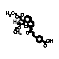 CCOC(=O)C(C)C1(C(C)C(=O)OCC)CC=Cc2ccc(C(=O)/C=C/c3ccc(C(=O)O)cc3)cc21